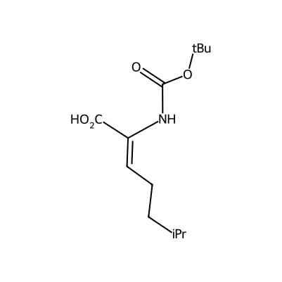 CC(C)CC/C=C(\NC(=O)OC(C)(C)C)C(=O)O